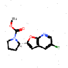 CC(C)(C)OC(=O)N1CCC[C@H]1c1cc2cc(Cl)cnc2o1